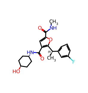 CNC(=O)c1cc(C(=O)N[C@H]2CC[C@H](O)CC2)c([C@H](C)c2cccc(F)c2)o1